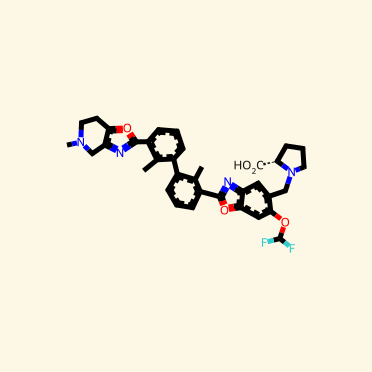 Cc1c(-c2nc3c(o2)CCN(C)C3)cccc1-c1cccc(-c2nc3cc(CN4CCC[C@H]4C(=O)O)c(OC(F)F)cc3o2)c1C